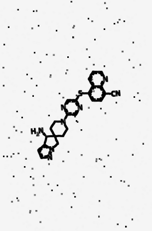 N#Cc1ccc(Sc2cnc(N3CCC4(CC3)Cn3nccc3[C@H]4N)cn2)c2cccnc12